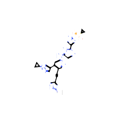 Cn1cc(C#Cc2cnc(Nc3ccnc(-c4cnn(S(=O)(=O)C5CC5)c4)n3)cc2-c2cnn(C3CC3)c2)cn1